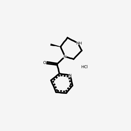 C[C@H]1CNCCN1C(=O)c1ccccn1.Cl